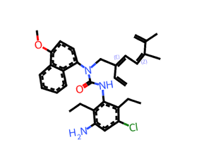 C=C/C(=C\C=C(\C)C(=C)C)CN(C(=O)Nc1c(CC)c(N)cc(Cl)c1CC)c1ccc(OC)c2ccccc12